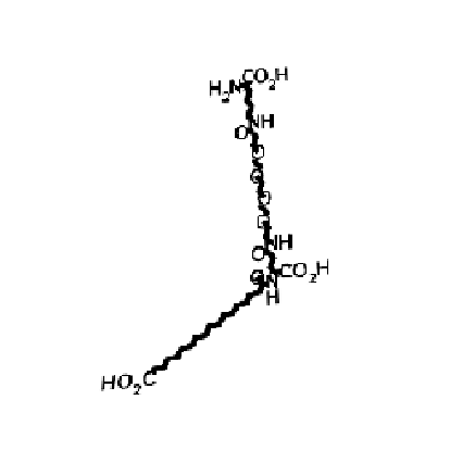 N[C@@H](CCCCNC(=O)CCOCCOCCOCCOCCNC(=O)CC[C@H](NC(=O)CCCCCCCCCCCCCCCCC(=O)O)C(=O)O)C(=O)O